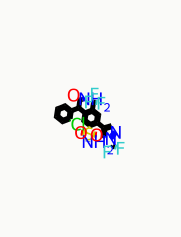 NC(=O)C(c1ccccc1Cl)c1cc(S(N)(=O)=O)c(-c2cnn(C(F)F)c2)cc1C(F)(F)F